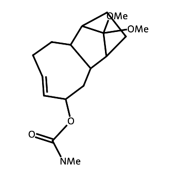 CNC(=O)OC1/C=C/CCC2C(C1)C1CCC2C1(OC)OC